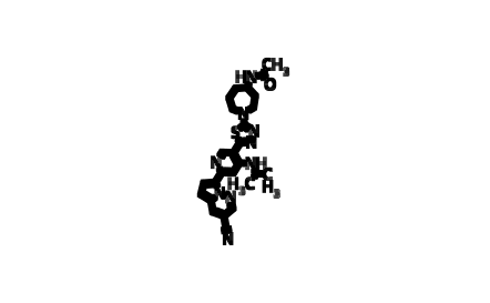 CC(=O)NC1CCCN(c2nnc(-c3cnc(-c4ccc5cc(C#N)cnn45)cc3NC(C)C)s2)CC1